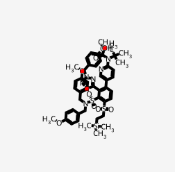 COc1ccc(CN(Cc2ccc(OC)cc2)S(=O)(=O)c2c(S(=O)(=O)CC[Si](C)(C)C)ccc(-c3ccc(N(C(=O)O)C(C)(C)C)nc3)c2-c2nnn(Cc3ccc(OC)cc3)n2)cc1